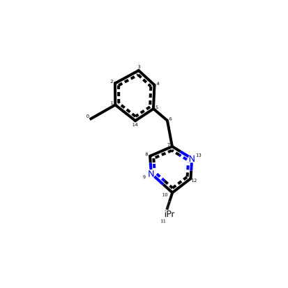 Cc1cccc(Cc2cnc(C(C)C)cn2)c1